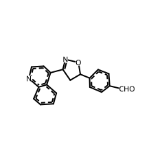 O=Cc1ccc(C2CC(c3ccnc4ccccc34)=NO2)cc1